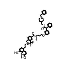 O=C(NCCCOc1cccc(C(C(=O)OCC2CCN(Cc3ccccc3)CC2)c2ccccc2)c1)c1ccc(CNCCc2ccc(O)c3[nH]c(=O)ccc23)c(C(F)(F)F)c1